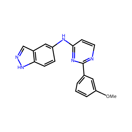 COc1cccc(-c2nccc(Nc3ccc4[nH]ncc4c3)n2)c1